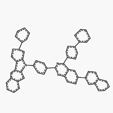 c1ccc(-c2ccc(-c3nc(-c4ccc(-n5c6cc(-c7ccccc7)ccc6c6cc7ccccc7cc65)cc4)nc4ccc(-c5ccc6ccccc6c5)cc34)cc2)cc1